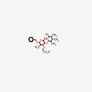 CCC1O[C@@H](O[C@@H]2C(CC)O[C@H](OCc3ccccc3)C(C)[C@H]2OCC(=O)O)C(C)[C@@H](C)[C@@H]1C